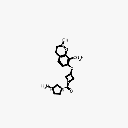 N[C@@H]1CC[C@H](C(=O)N2CC(Oc3ccc4c(c3C(=O)O)OB(O)CC4)C2)C1